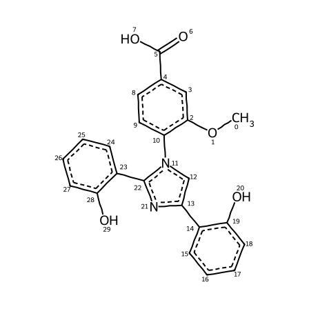 COc1cc(C(=O)O)ccc1-n1cc(-c2ccccc2O)nc1-c1ccccc1O